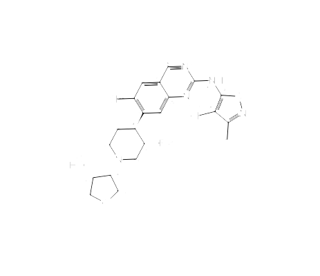 Cc1nsc(Nc2ncc3cc(Cl)c([C@@H]4CCN([C@@H]5COC[C@@H]5O)C[C@H]4F)cc3n2)c1Cl